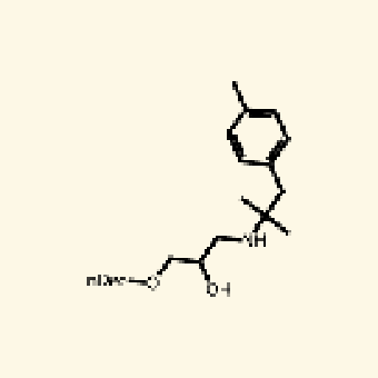 CCCCCCCCCCOCC(O)CNC(C)(C)Cc1ccc(C)cc1